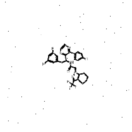 O=C(Cn1nc(C(F)(F)F)c2c1CCCC2)NC(Cc1cc(F)cc(F)c1)c1nccnc1-c1ccc(Cl)cc1